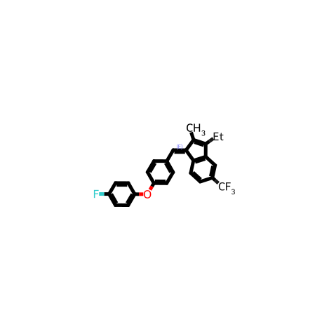 CCC1=C(C)/C(=C/c2ccc(Oc3ccc(F)cc3)cc2)c2ccc(C(F)(F)F)cc21